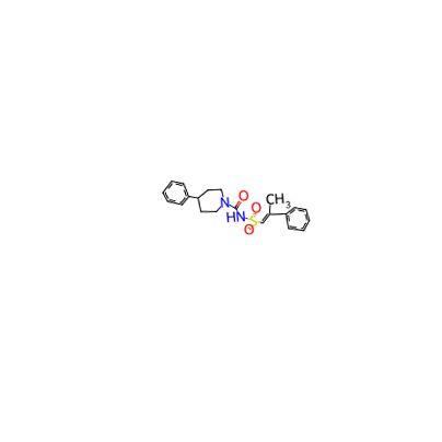 C/C(=C\S(=O)(=O)NC(=O)N1CCC(c2ccccc2)CC1)c1ccccc1